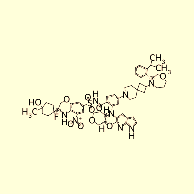 CC(C)c1ccccc1[C@@H]1COCCCN1C1CC2(CCN(c3ccc(C(=O)NS(=O)(=O)c4cc5c(c([N+](=O)[O-])c4)N[C@@H](C4(F)CCC(C)(O)CC4)CO5)c(N4c5cc6cc[nH]c6nc5O[C@H]5COCC[C@@H]54)c3)CC2)C1